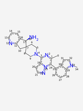 Cc1nc(N2CCC3(CC2)Cc2ncccc2[C@H]3N)c2ccnn2c1-c1cccc2c1ccn2C